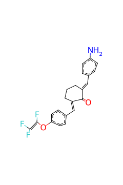 Nc1ccc(C=C2CCCC(=Cc3ccc(OC(F)=C(F)F)cc3)C2=O)cc1